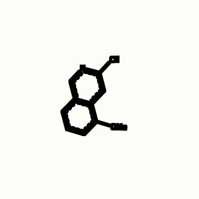 COc1cccc2cnc(C#N)cc12